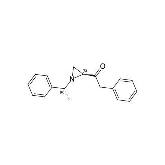 C[C@H](c1ccccc1)N1C[C@H]1C(=O)Cc1ccccc1